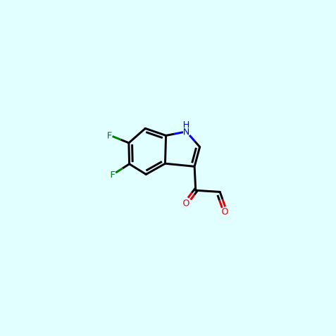 O=CC(=O)c1c[nH]c2cc(F)c(F)cc12